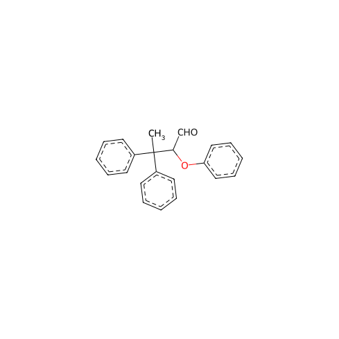 CC(c1ccccc1)(c1ccccc1)C(C=O)Oc1ccccc1